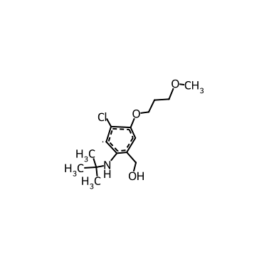 COCCCOc1cc(CO)c(NC(C)(C)C)[c]c1Cl